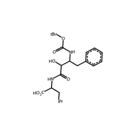 CC(C)CC(NC(=O)C(O)C(Cc1ccccc1)NC(=O)OC(C)(C)C)C(=O)O